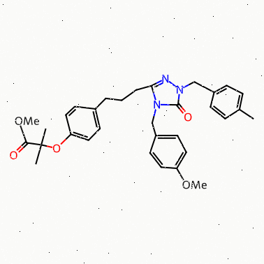 COC(=O)C(C)(C)Oc1ccc(CCCc2nn(Cc3ccc(C)cc3)c(=O)n2Cc2ccc(OC)cc2)cc1